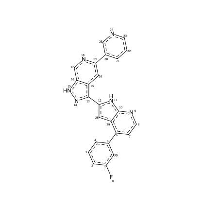 Fc1cccc(-c2ccnc3[nH]c(-c4n[nH]c5cnc(-c6cccnc6)cc45)cc23)c1